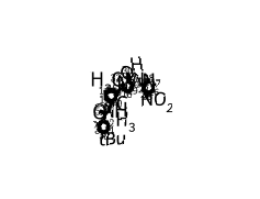 Cc1c(NC(=O)c2ccc(C(C)(C)C)cc2)cccc1-c1ccc(Nc2cc([N+](=O)[O-])ccn2)c(=O)n1C